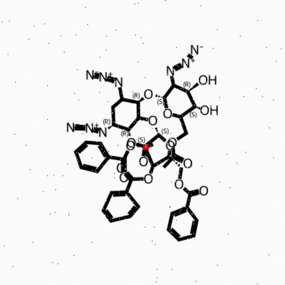 CC(=O)OCC1O[C@H](O[C@@H]2C(N=[N+]=[N-])C[C@@H](N=[N+]=[N-])[C@@H](OC(C)=O)C2O[C@@H]2O[C@H](COC(=O)c3ccccc3)C(OC(=O)c3ccccc3)[C@@H]2OC(=O)c2ccccc2)C(N=[N+]=[N-])[C@@H](O)[C@@H]1O